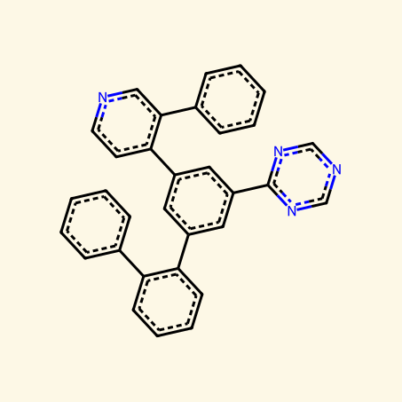 c1ccc(-c2ccccc2-c2cc(-c3ncncn3)cc(-c3ccncc3-c3ccccc3)c2)cc1